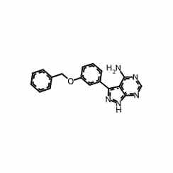 Nc1ncnc2[nH]nc(-c3cccc(OCc4ccccc4)c3)c12